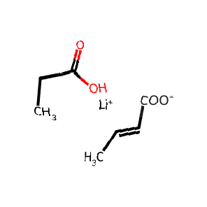 CC=CC(=O)[O-].CCC(=O)O.[Li+]